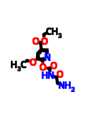 CCOC(=O)c1cnc(OC(=O)NC(=O)CN)c(OCC)c1